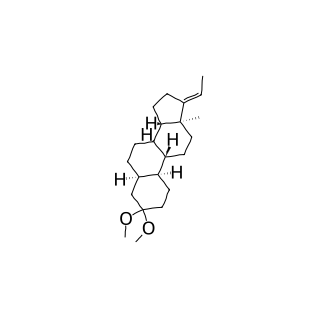 CC=C1CC[C@H]2[C@@H]3CC[C@@H]4CC(OC)(OC)CC[C@@H]4[C@H]3CC[C@]12C